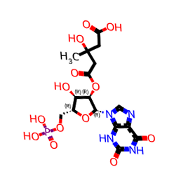 CC(O)(CC(=O)O)CC(=O)O[C@@H]1[C@H](O)[C@@H](COP(=O)(O)O)O[C@H]1n1cnc2c(=O)[nH]c(=O)[nH]c21